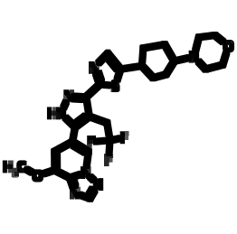 COc1cc(-c2[nH]nc(-c3ncc(C4CCC(N5CCOCC5)CC4)s3)c2CC(F)(F)F)cn2ncnc12